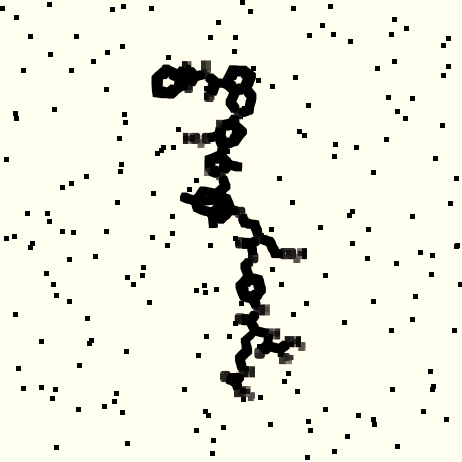 Cc1c(-c2ccc(N3CCc4cccc(C(=O)Nc5nc6ccccc6s5)c4C3)nc2C(=O)O)cnn1CC12CC3(C)CC(C)(C1)CC(OCCN(CCC(=O)O)C(=O)OCc1ccc(NC(=O)[C@H](CCCNC(N)=O)NC(=O)[C@@H](N)C(C)C)cc1)(C3)C2